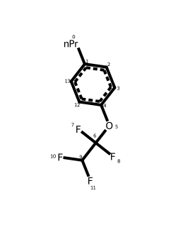 [CH2]CCc1ccc(OC(F)(F)C(F)F)cc1